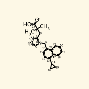 CC(C)(Cc1nncn1Cc1ccc(C2CC2)c2ccccc12)C(=O)O